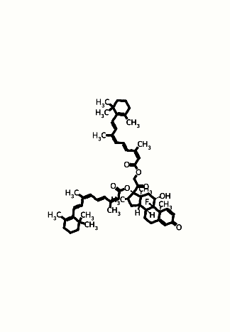 CC(C=CC1=C(C)CCCC1(C)C)=CC=CC(C)=CC(=O)OCC(=O)[C@]1(OC(=O)C=C(C)C=CC=C(C)C=CC2=C(C)CCCC2(C)C)[C@H](C)C[C@H]2[C@@H]3CCC4=CC(=O)C=C[C@]4(C)[C@@]3(F)[C@@H](O)C[C@@]21C